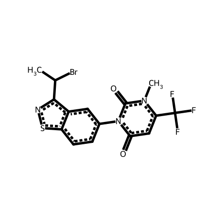 CC(Br)c1nsc2ccc(-n3c(=O)cc(C(F)(F)F)n(C)c3=O)cc12